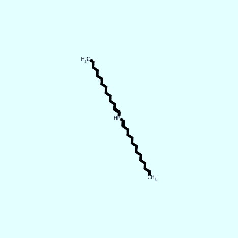 CCCCCCCCCCCCC=CPC=CCCCCCCCCCCCC